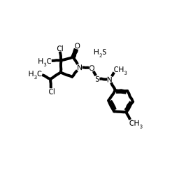 Cc1ccc(N(C)SON2CC(C(C)Cl)C(C)(Cl)C2=O)cc1.S